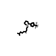 CC(C)CCC[C@H](C)CCCN1CC[CH]CC1c1ccc(C(F)(F)F)cc1